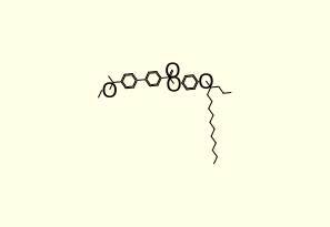 CCCCCCCCCCCC(CCC)Oc1ccc(OC(=O)c2ccc(-c3ccc(C(C)OCC)cc3)cc2)cc1